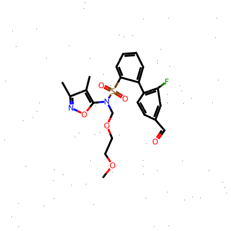 COCCOCN(c1onc(C)c1C)S(=O)(=O)c1ccccc1-c1ccc(C=O)cc1F